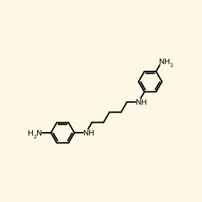 Nc1ccc(NCCCCCNc2ccc(N)cc2)cc1